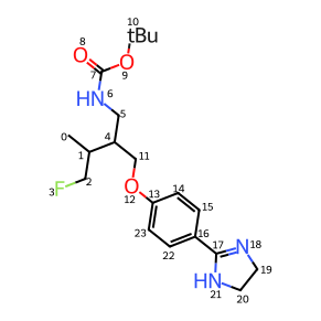 CC(CF)C(CNC(=O)OC(C)(C)C)COc1ccc(C2=NCCN2)cc1